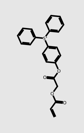 C=CC(=O)OCC(=O)Oc1ccc([S+](c2ccccc2)c2ccccc2)cc1